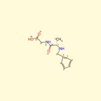 C[C@H](NCc1ccccc1)C(=O)NCC(=O)O